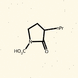 CCCC1CCN(C(=O)O)C1=O